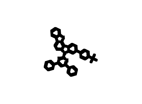 CC(C)(C)c1ccc(-c2ccc3c4c5sc6ccccc6c5ccc4n(-c4nc(-c5ccccc5)cc(-c5ccccc5)n4)c3c2)cc1